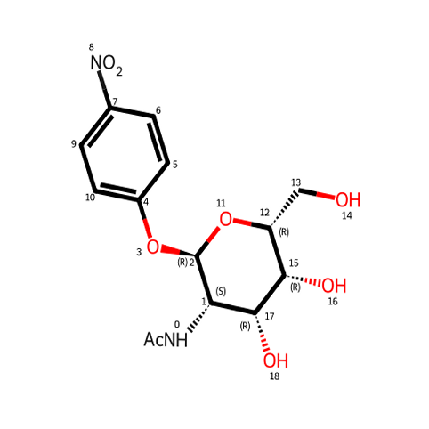 CC(=O)N[C@@H]1[C@@H](Oc2ccc([N+](=O)[O-])cc2)O[C@H](CO)[C@H](O)[C@@H]1O